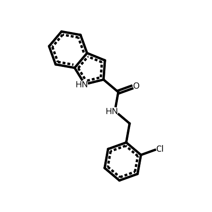 O=C(NCc1ccccc1Cl)c1cc2ccccc2[nH]1